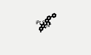 Cc1ccc2c(CC(C)C)c3c(c(C)c2c1)-c1c2c(cc4ccc(-c5ccccc5)cc4c2cc[n+]1C)S3